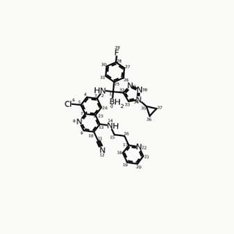 BC(Nc1cc(Cl)c2ncc(C#N)c(NCCc3ccccn3)c2c1)(c1ccc(F)cc1)c1cn(C2CC2)nn1